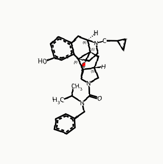 CC(C)N(Cc1ccccc1)C(=O)N1C[C@H]2C[C@@]34CCC1C2[C@@]31CCN(CC2CC2)[C@@H]4Cc2ccc(O)cc21